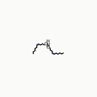 CCCCC/C=C\CCCO[SiH](C)OCCC/C=C\CCCCC